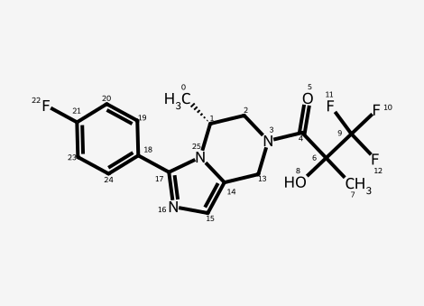 C[C@@H]1CN(C(=O)C(C)(O)C(F)(F)F)Cc2cnc(-c3ccc(F)cc3)n21